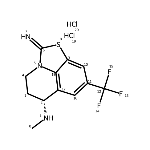 CN[C@@H]1CCn2c(=N)sc3cc(C(F)(F)F)cc1c32.Cl.Cl